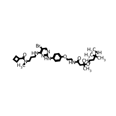 CNC(C)(C)CCOC(C)(C)CC(=O)NCCOc1ccc(Nc2ncc(Br)c(NCCCN(C)C(=O)C3CCC3)n2)cc1